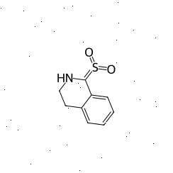 O=S(=O)=C1NCCc2ccccc21